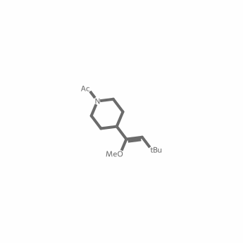 COC(=CC(C)(C)C)C1CCN(C(C)=O)CC1